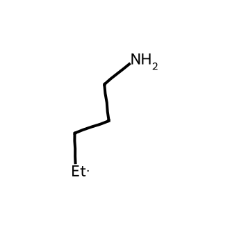 C[CH]CCCN